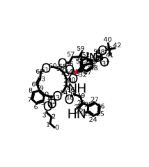 CCCCOc1cccc2c1C(=O)OC[C@H](NC(=O)Cc1c[nH]c3ccccc13)[C@@H](OC/C=C/CNC(=O)OC(C)(C)C)[C@H](OCc1ccc(OC)cc1)[C@H](OCCCC)COC/C=C/2